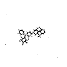 CC1(C)c2cccc3ccc4cc(-c5ccc(N(c6ccccc6)c6c(F)c(F)c(F)c(F)c6F)cc5)cc1c4c23